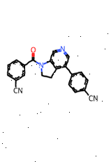 N#Cc1ccc(-c2cncc3c2CCN3C(=O)c2cccc(C#N)c2)cc1